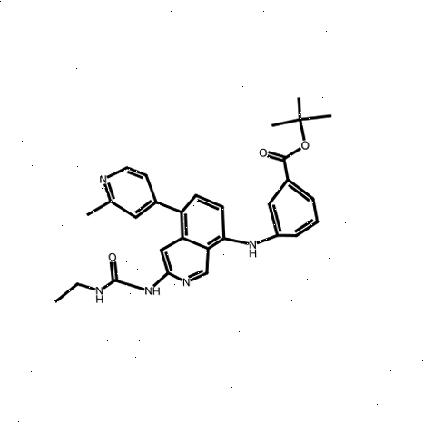 CCNC(=O)Nc1cc2c(-c3ccnc(C)c3)ccc(Nc3cccc(C(=O)OC(C)(C)C)c3)c2cn1